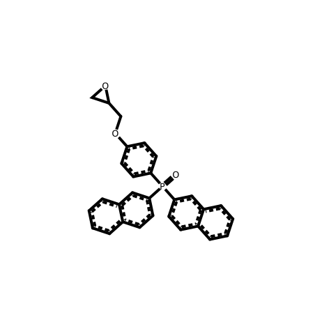 O=P(c1ccc(OCC2CO2)cc1)(c1ccc2ccccc2c1)c1ccc2ccccc2c1